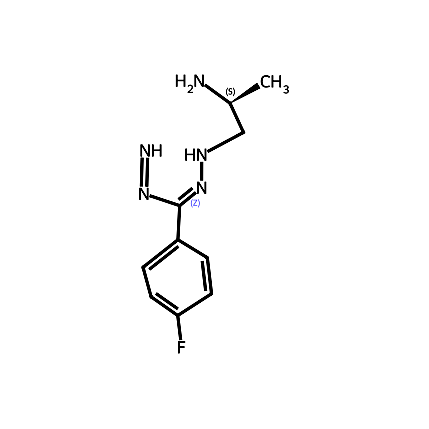 C[C@H](N)CN/N=C(\N=N)c1ccc(F)cc1